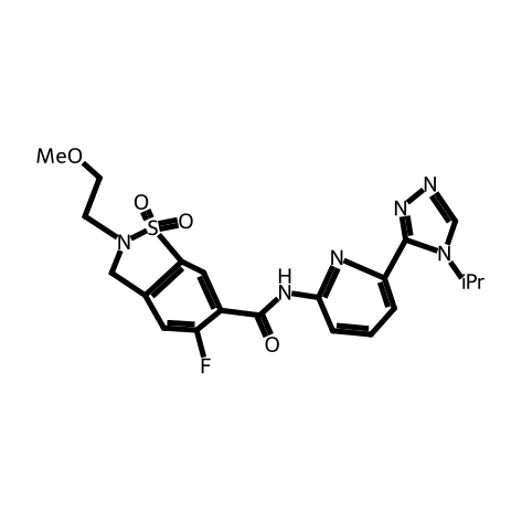 COCCN1Cc2cc(F)c(C(=O)Nc3cccc(-c4nncn4C(C)C)n3)cc2S1(=O)=O